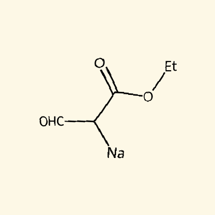 CCOC(=O)[CH]([Na])C=O